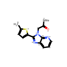 CNC(=O)Cn1c(-c2ccc(C)s2)nc2cccnc21